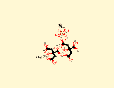 O=C(O)CC(O)(CC(=O)O)C(=O)O.O=C(O)CC(O)(CC(=O)O)C(=O)O.O=S(=O)(O)O.[NaH].[NaH].[NaH].[NaH]